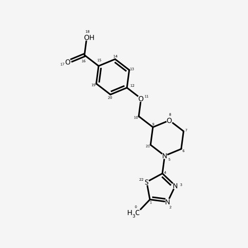 Cc1nnc(N2CCOC(COc3ccc(C(=O)O)cc3)C2)s1